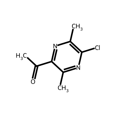 CC(=O)c1nc(C)c(Cl)nc1C